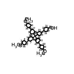 COc1ccc(-c2ccc(C(c3ccc(-c4ccc(CO)cc4)cc3)(c3ccc(-c4ccc(OC)cc4)cc3)c3ccc(-c4ccc(OC)cc4)cc3)cc2)cc1